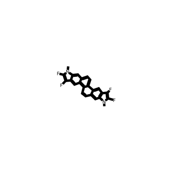 Cn1c(F)c(F)c2cc3c(ccc4c5cc6c(F)c(F)n(C)c6cc5ccc34)cc21